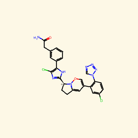 NC(=O)Cc1cccc(-c2[nH]c([C@@H]3CCC4=CC(c5cc(Cl)ccc5-n5cnnn5)=CON43)nc2Cl)c1